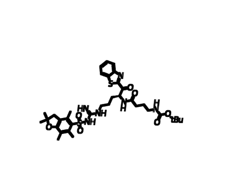 Cc1c(C)c(S(=O)(=O)NC(=N)NCCC[C@H](NC(=O)CCCNC(=O)OC(C)(C)C)C(=O)c2nc3ccccc3s2)c(C)c2c1OC(C)(C)C2